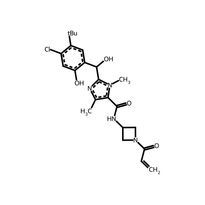 C=CC(=O)N1CC(NC(=O)c2c(C)nc(C(O)c3cc(C(C)(C)C)c(Cl)cc3O)n2C)C1